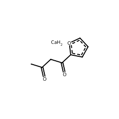 CC(=O)CC(=O)c1ccco1.[CaH2]